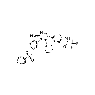 O=C(Nc1ccc(-c2cnc3[nH]c4ccc(CS(=O)(=O)c5ccccc5)cc4c3c2C2=CC=CCC2)cc1)C(F)(F)F